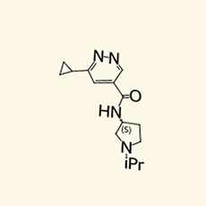 CC(C)N1CC[C@H](NC(=O)c2cnnc(C3CC3)c2)C1